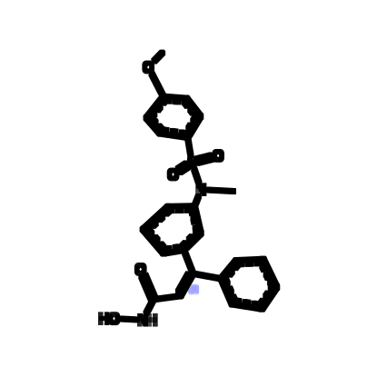 COc1ccc(S(=O)(=O)N(C)c2cccc(/C(=C\C(=O)NO)c3ccccc3)c2)cc1